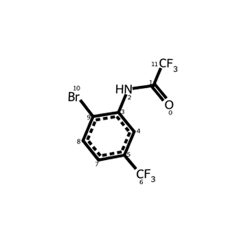 O=C(Nc1cc(C(F)(F)F)ccc1Br)C(F)(F)F